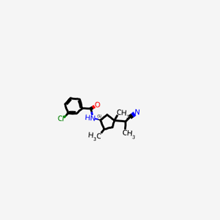 CC1CC(C)(C(C)C#N)C[C@@H]1NC(=O)c1cccc(Cl)c1